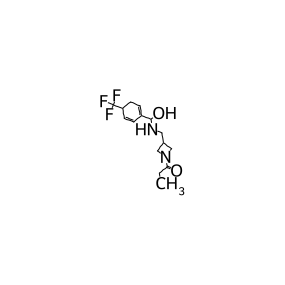 CCC(=O)N1CC(CNC(O)C2=CCC(C(F)(F)F)C=C2)C1